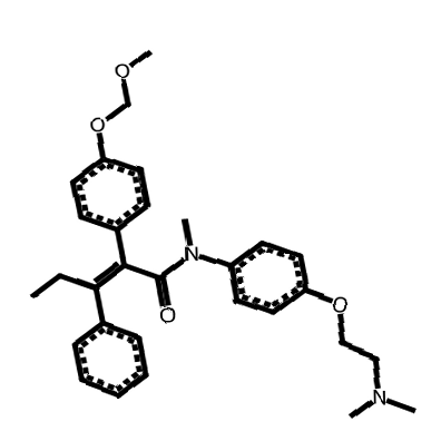 CC/C(=C(/C(=O)N(C)c1ccc(OCCN(C)C)cc1)c1ccc(OCOC)cc1)c1ccccc1